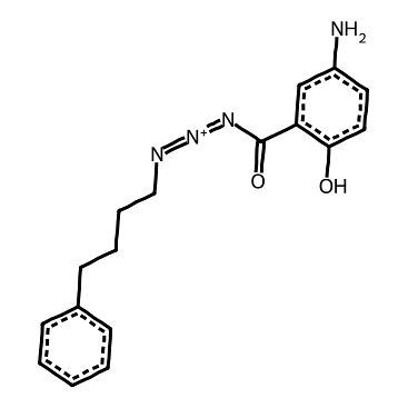 Nc1ccc(O)c(C(=O)N=[N+]=NCCCCc2ccccc2)c1